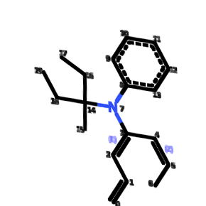 C=C/C=C(\C=C/C)N(c1ccccc1)C(C)(CC)CC